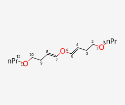 CCCOCCC=COC=CCCOCCC